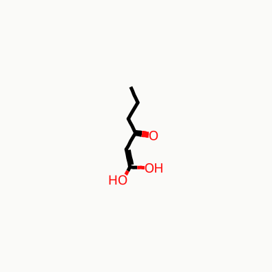 CCCC(=O)C=C(O)O